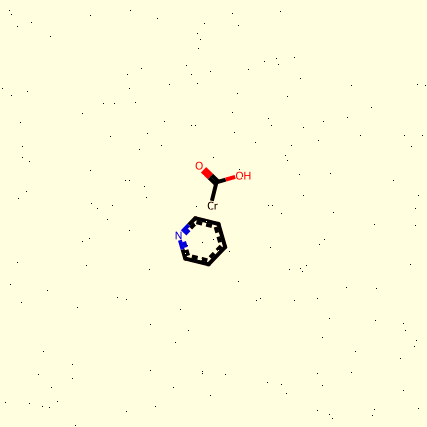 O=[C](O)[Cr].c1ccncc1